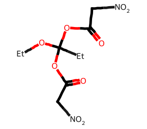 CCOC(CC)(OC(=O)C[N+](=O)[O-])OC(=O)C[N+](=O)[O-]